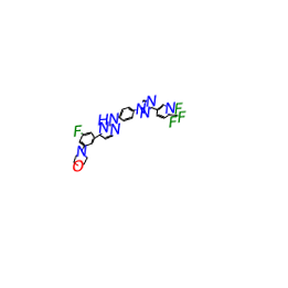 Fc1cc(-c2ccnc(Nc3ccc(-n4cnc(-c5ccc(C(F)(F)F)nc5)n4)cc3)n2)cc(N2CCOCC2)c1